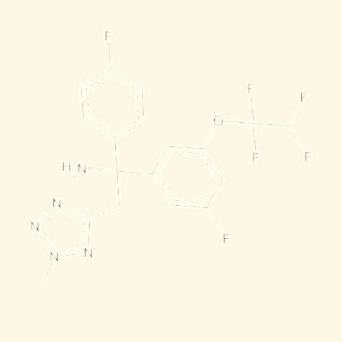 Cn1nnc(C[C@@](N)(c2ccc(F)cc2)c2cc(F)cc(OC(F)(F)C(F)F)c2)n1